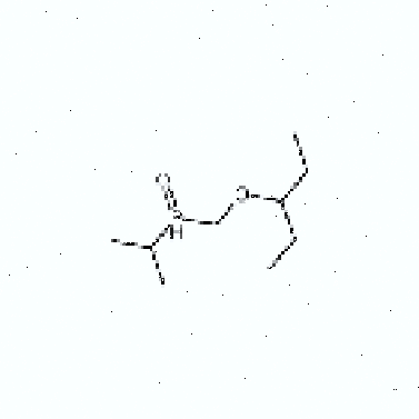 CCC(CC)OC[PH](=O)C(C)C